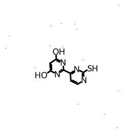 Oc1cc(O)nc(-c2ccnc(S)n2)n1